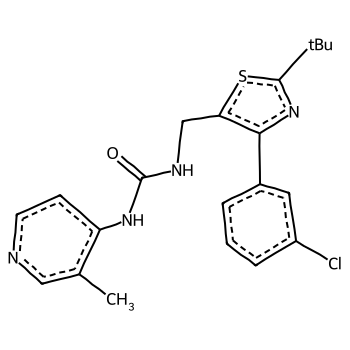 Cc1cnccc1NC(=O)NCc1sc(C(C)(C)C)nc1-c1cccc(Cl)c1